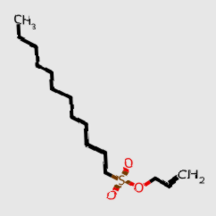 C=CCOS(=O)(=O)CCCCCCCCCCCC